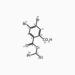 CCC(OC(=O)c1cc(Br)c(Br)cc1C(=O)O)C(C)C